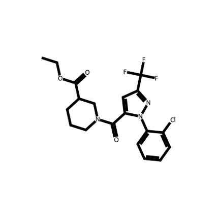 CCOC(=O)C1CCCN(C(=O)c2cc(C(F)(F)F)nn2-c2ccccc2Cl)C1